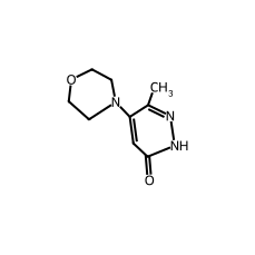 Cc1n[nH]c(=O)cc1N1CCOCC1